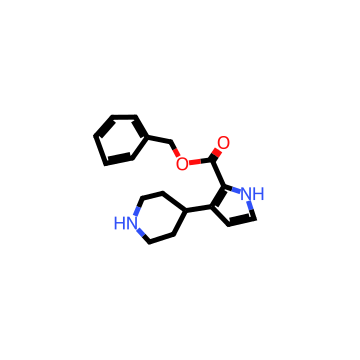 O=C(OCc1ccccc1)c1[nH]ccc1C1CCNCC1